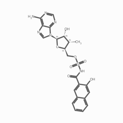 C[C@H]1[C@@H](O)[C@H](n2cnc3c(N)ncnc32)O[C@@H]1COS(=O)(=O)NC(=O)c1cc2ccccc2cc1O